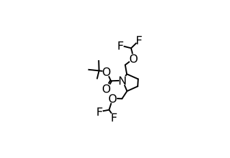 CC(C)(C)OC(=O)N1C(COC(F)F)CCC1COC(F)F